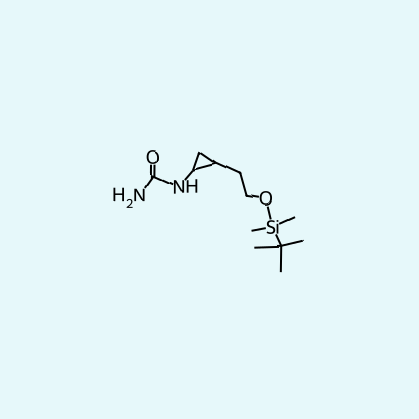 CC(C)(C)[Si](C)(C)OCCC1CC1NC(N)=O